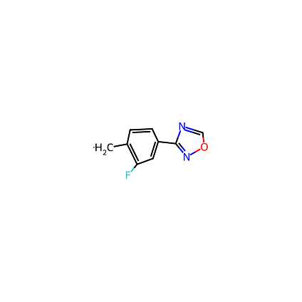 [CH2]c1ccc(-c2ncon2)cc1F